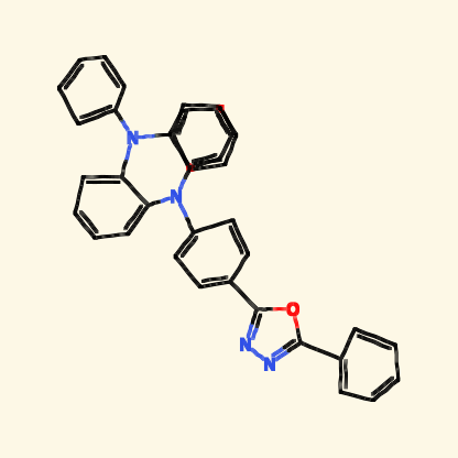 c1ccc(-c2nnc(-c3ccc(N(c4ccccc4)c4ccccc4N(c4ccccc4)c4ccccc4)cc3)o2)cc1